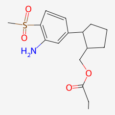 CCC(=O)OCC1CCCC1c1ccc(S(C)(=O)=O)c(N)c1